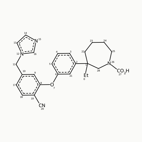 CCC1(c2cccc(Oc3cc(Cn4ccnc4)ccc3C#N)c2)CCCCN(C(=O)O)C1